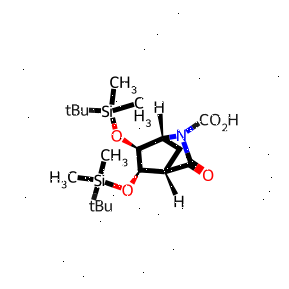 CC(C)(C)[Si](C)(C)O[C@@H]1[C@H](O[Si](C)(C)C(C)(C)C)[C@@H]2C[C@H]1N(C(=O)O)C2=O